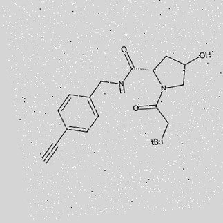 C#Cc1ccc(CNC(=O)[C@@H]2CC(O)CN2C(=O)CC(C)(C)C)cc1